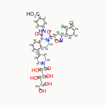 O=C(O)c1ccc(NC(=O)[C@@H]2c3cccc(C4=CCN(C(=O)[C@H](O)[C@@H](O)[C@H](O)[C@H](O)CO)CC4)c3CCN2C(=O)[C@H]2CC(c3cccc(Cl)c3F)=NO2)cc1